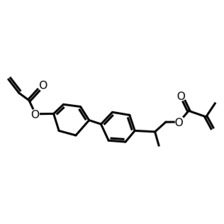 C=CC(=O)OC1=CC=C(c2ccc(C(C)COC(=O)C(=C)C)cc2)CC1